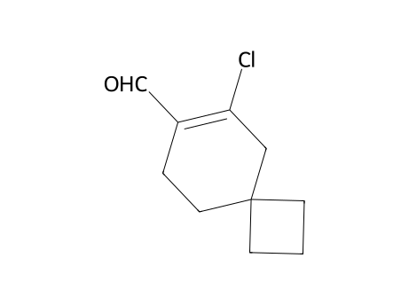 O=CC1=C(Cl)CC2(CCC2)CC1